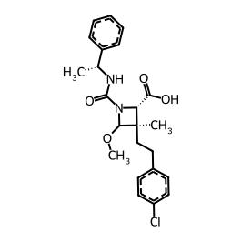 COC1N(C(=O)N[C@H](C)c2ccccc2)[C@H](C(=O)O)[C@@]1(C)CCc1ccc(Cl)cc1